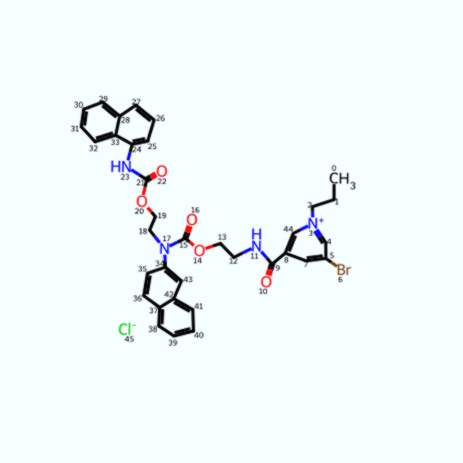 CCC[n+]1cc(Br)cc(C(=O)NCCOC(=O)N(CCOC(=O)Nc2cccc3ccccc23)c2ccc3ccccc3c2)c1.[Cl-]